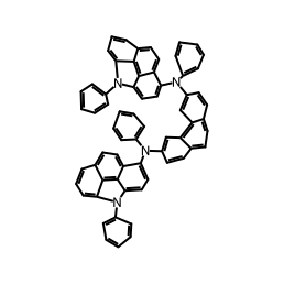 c1ccc(N(c2ccc3ccc4ccc(N(c5ccccc5)c5ccc6c7c5ccc5cccc(c57)n6-c5ccccc5)cc4c3c2)c2ccc3c4c2ccc2cccc(c24)n3-c2ccccc2)cc1